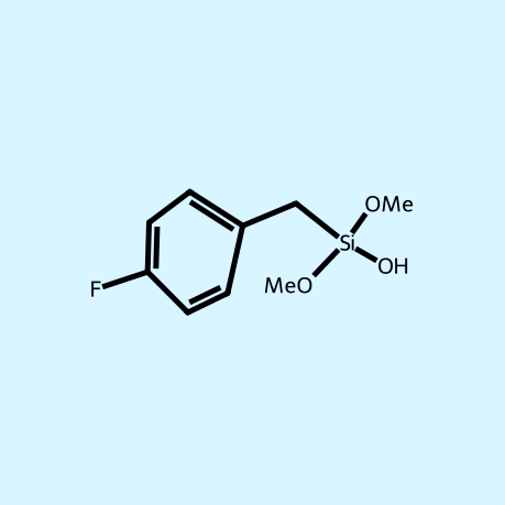 CO[Si](O)(Cc1ccc(F)cc1)OC